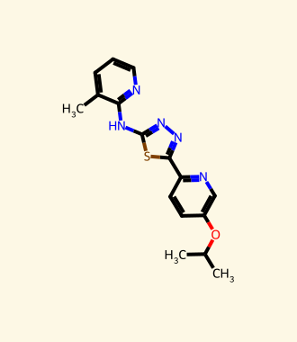 Cc1cccnc1Nc1nnc(-c2ccc(OC(C)C)cn2)s1